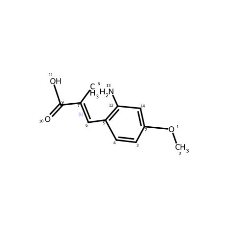 COc1ccc(/C=C(\C)C(=O)O)c(N)c1